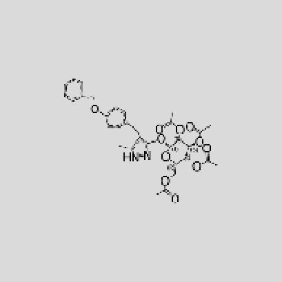 CC(=O)OC[C@H]1O[C@@H](Oc2n[nH]c(C)c2Cc2ccc(OCc3ccccc3)cc2)[C@H](OC(C)=O)[C@@H](OC(C)=O)[C@@H]1OC(C)=O